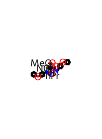 CCCN(Cc1ccc(Oc2ccccc2)cc1)C(=O)[C@H]1[C@@H](C(=O)OC)[C@H](C#N)[C@@H]1C(=O)N(CCC)Cc1ccc(Oc2ccccc2)cc1